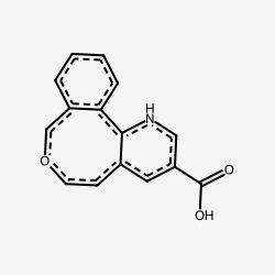 O=C(O)c1c[nH]c2c3ccccc3coccc-2c1